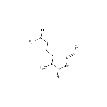 CC/C=N/NC(=N)N(C)CCCN(C)C